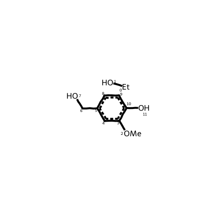 CCO.COc1cc(CO)ccc1O